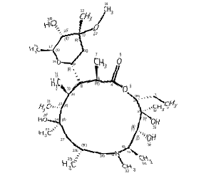 CC[C@H]1OC(=O)[C@H](C)C([C@H]2C[C@@](C)(OC)[C@@H](O)[C@H](C)O2)[C@H](C)[C@@H](C)[C@](C)(O)C[C@@H](C)CN(C)[C@H](C)[C@@H](O)[C@]1(C)O